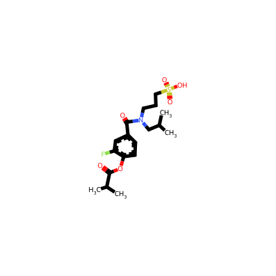 CC(C)CN(CCCS(=O)(=O)O)C(=O)c1ccc(OC(=O)C(C)C)c(F)c1